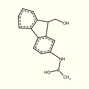 CB(O)Nc1ccc2c(c1)C(CO)c1ccccc1-2